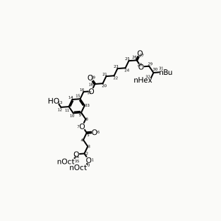 CCCCCCCCOC(CCC(=O)OCc1cc(CO)cc(COC(=O)CCCCCCC(=O)OCC(CCCC)CCCCCC)c1)OCCCCCCCC